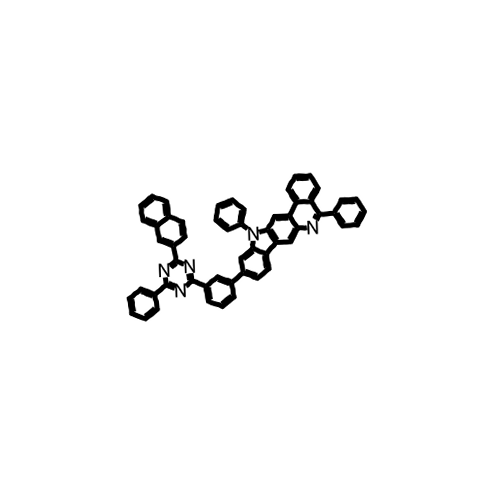 c1ccc(-c2nc(-c3cccc(-c4ccc5c6cc7nc(-c8ccccc8)c8ccccc8c7cc6n(-c6ccccc6)c5c4)c3)nc(-c3ccc4ccccc4c3)n2)cc1